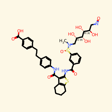 CN(C[C@H](O)[C@@H](O)[C@H](O)[C@H](O)CN=O)[S+]([O-])c1cccc(C(=O)Nc2sc3c(c2C(=O)Nc2ccc(CCc4ccc(C(=O)O)cc4)cc2)CCCC3)c1